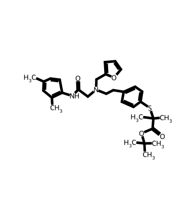 Cc1ccc(NC(=O)CN(CCc2ccc(SC(C)(C)C(=O)OC(C)(C)C)cc2)Cc2ccco2)c(C)c1